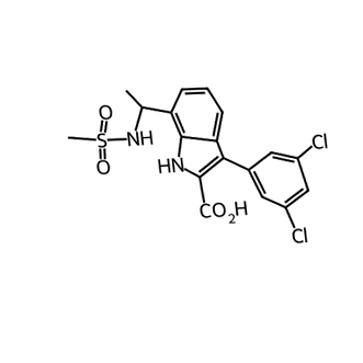 CC(NS(C)(=O)=O)c1cccc2c(-c3cc(Cl)cc(Cl)c3)c(C(=O)O)[nH]c12